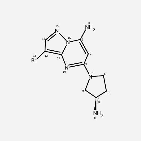 Nc1cc(N2CC[C@@H](N)C2)nc2c(Br)cnn12